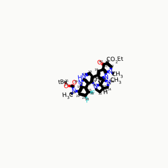 CCOC(=O)c1cn(C)c2ncc(-c3cnc4[nH]c5c(N(C)C(=O)OC(C)(C)C)cc(F)c(F)c5c4c3N3CC[C@H]4CN(C)C[C@H]43)cc2c1=O